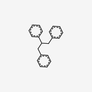 [c]1ccc(C(Cc2ccccc2)Cc2ccccc2)cc1